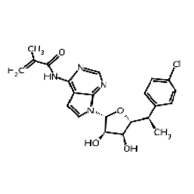 C=C(C)C(=O)Nc1ncnc2c1ccn2[C@@H]1O[C@H]([C@H](C)c2ccc(Cl)cc2)[C@@H](O)[C@H]1O